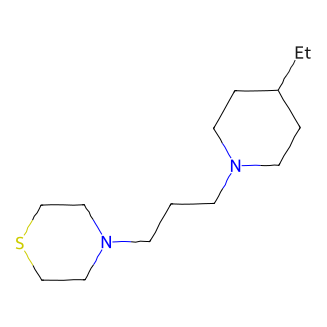 [CH2]CC1CCN(CCCN2CCSCC2)CC1